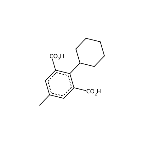 Cc1cc(C(=O)O)c(C2CCCCC2)c(C(=O)O)c1